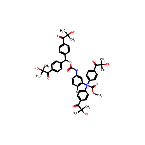 COC(=O)[N+](c1ccc(C(=O)C(C)(C)O)cc1)(c1ccc(C(=O)C(C)(C)O)cc1)c1cc(NC(=O)OC(c2ccc(C(=O)C(C)(C)O)cc2)c2ccc(C(=O)C(C)(C)O)cc2)ccc1C